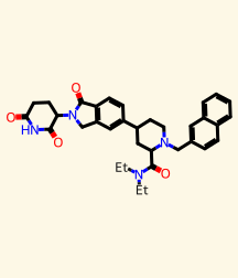 CCN(CC)C(=O)C1CC(c2ccc3c(c2)CN(C2CCC(=O)NC2=O)C3=O)CCN1Cc1ccc2ccccc2c1